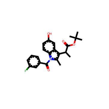 Cc1c(C(C)C(=O)OC(C)(C)C)c2cc(O)ccc2n1C(=O)c1cccc(F)c1